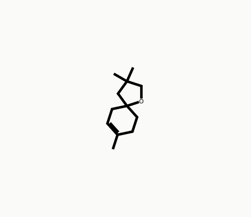 CC1=CCC2(CC1)CC(C)(C)CO2